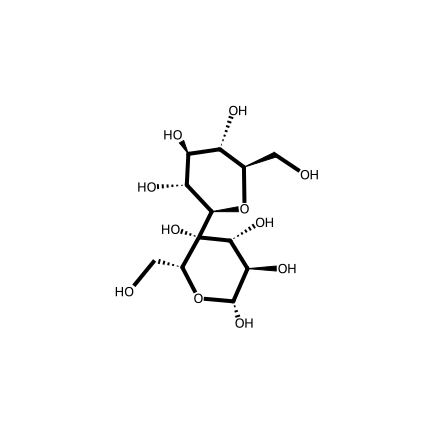 OC[C@H]1O[C@@H]([C@@]2(O)[C@H](O)[C@@H](O)[C@H](O)O[C@@H]2CO)[C@H](O)[C@@H](O)[C@@H]1O